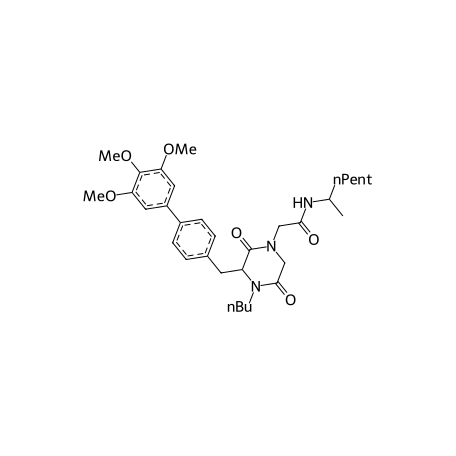 CCCCCC(C)NC(=O)CN1CC(=O)N(CCCC)C(Cc2ccc(-c3cc(OC)c(OC)c(OC)c3)cc2)C1=O